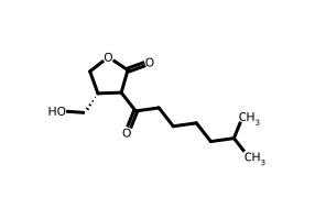 CC(C)CCCCC(=O)C1C(=O)OC[C@H]1CO